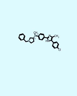 Cc1nc(-c2ccc(N(C)[C@H]3CCN(Cc4ccccc4)C3)cc2)[nH]c1-c1ccc(Cl)cc1